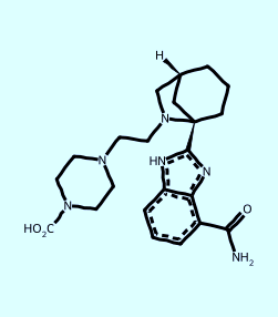 NC(=O)c1cccc2[nH]c([C@@]34CCC[C@@H](CN3CCN3CCN(C(=O)O)CC3)C4)nc12